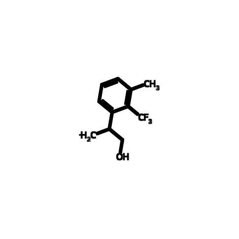 [CH2]C(CO)c1cccc(C)c1C(F)(F)F